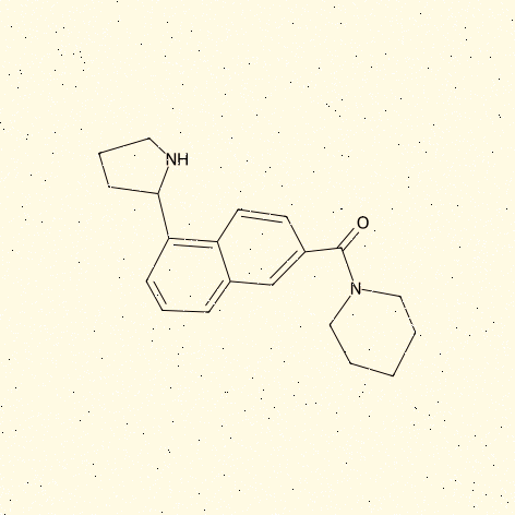 O=C(c1ccc2c(C3CCCN3)cccc2c1)N1CCCCC1